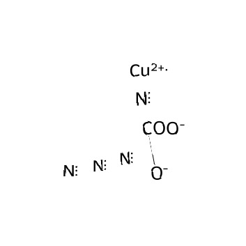 O=C([O-])[O-].[Cu+2].[N].[N].[N].[N]